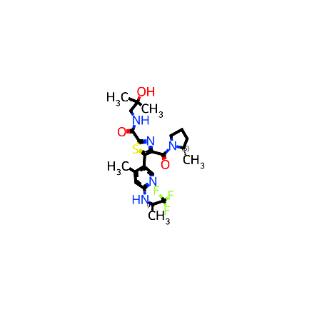 Cc1cc(N[C@H](C)C(F)(F)F)ncc1-c1sc(C(=O)NCC(C)(C)O)nc1C(=O)N1CCC[C@@H]1C